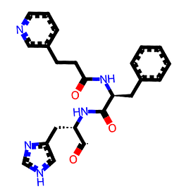 O=[C][C@H](Cc1c[nH]cn1)NC(=O)[C@H](Cc1ccccc1)NC(=O)CCc1cccnc1